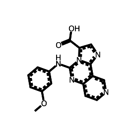 COc1cccc(Nc2nc3ccncc3c3ncc(C(=O)O)n23)c1